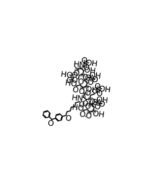 CO[C@H]1C(C(=O)O)O[C@@H](O[C@H]2C(COS(=O)(=O)O)O[C@@H](O[C@@H]3C(C(=O)O)O[C@@H](O[C@H]4C(COS(=O)(=O)O)O[C@@H](C)[C@@H](NS(=O)(=O)O)C4O)C(OS(=O)(=O)O)[C@@H]3O)[C@@H](NC(=O)CCCCCC(=O)c3ccc(C(=O)c4ccccc4)cc3)C2O)C(OS(=O)(=O)O)[C@@H]1O